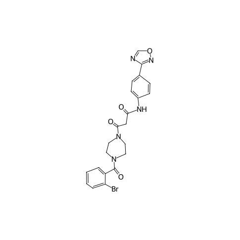 O=C(CC(=O)N1CCN(C(=O)c2ccccc2Br)CC1)Nc1ccc(-c2ncon2)cc1